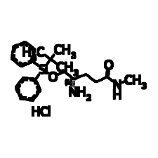 CNC(=O)CC[C@H](N)CO[Si](c1ccccc1)(c1ccccc1)C(C)(C)C.Cl